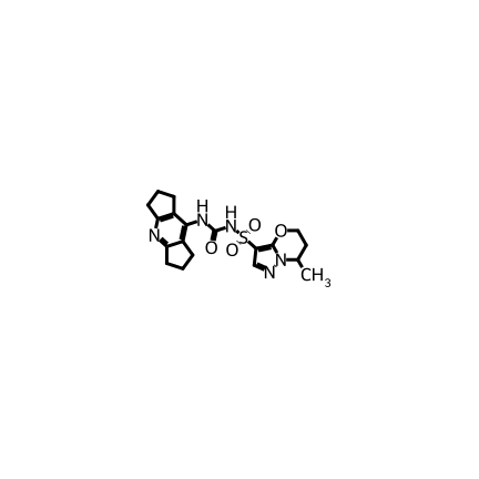 CC1CCOc2c(S(=O)(=O)NC(=O)Nc3c4c(nc5c3CCC5)CCC4)cnn21